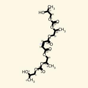 CC(O)COC(=O)OC(C)COC(=O)/C=C\C(=O)OCC(C)OC(=O)OCC(C)O